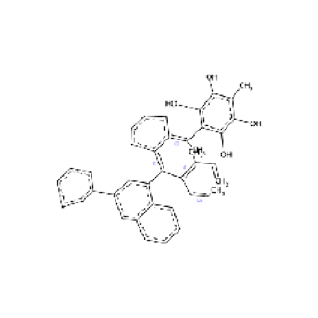 C=C/C(C)=C(\C=C/C)C(/c1cc(-c2ccccc2)cc2ccccc12)=c1/cccc/c1=C(/C)c1c(O)c(O)c(C)c(O)c1O